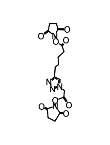 O=C(CCCCc1cn(CC(=O)ON2C(=O)CCC2=O)nn1)ON1C(=O)CCC1=O